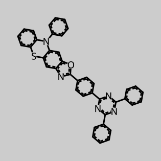 c1ccc(-c2nc(-c3ccccc3)nc(-c3ccc(-c4nc5cc6c(cc5o4)N(c4ccccc4)c4ccccc4S6)cc3)n2)cc1